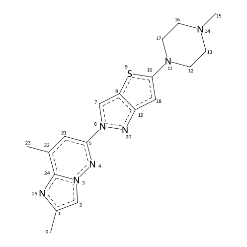 Cc1cn2nc(-n3cc4sc(N5CCN(C)CC5)cc4n3)cc(C)c2n1